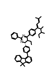 CCC(C)C(C)/C(=C\C=C(C)C)c1ccc(C2=NC(c3ccccc3)=N[C@@H](c3ccc(-c4cccc5c4-c4ccccc4C5(C)C)cc3)C2CC)cc1